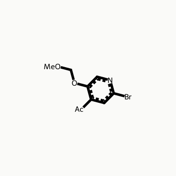 COCOc1cnc(Br)cc1C(C)=O